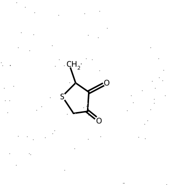 [CH2]C1SCC(=O)C1=O